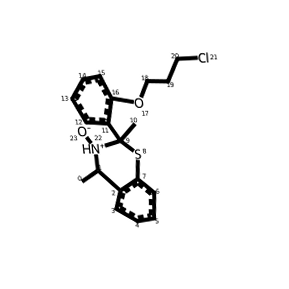 CC1c2ccccc2SC(C)(c2ccccc2OCCCCl)[NH+]1[O-]